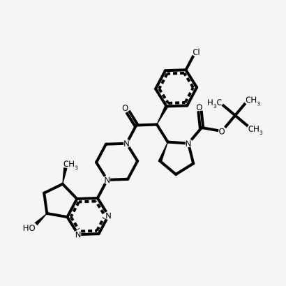 C[C@@H]1C[C@H](O)c2ncnc(N3CCN(C(=O)[C@@H](c4ccc(Cl)cc4)[C@@H]4CCCN4C(=O)OC(C)(C)C)CC3)c21